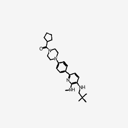 CNc1nc(-c2ccc(N3CCN(C(=O)C4CCCC4)CC3)cc2)ccc1NCC(C)(C)C